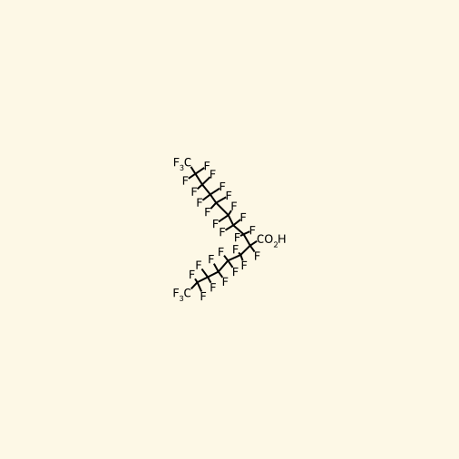 O=C(O)C(F)(C(F)(F)C(F)(F)C(F)(F)C(F)(F)C(F)(F)C(F)(F)F)C(F)(F)C(F)(F)C(F)(F)C(F)(F)C(F)(F)C(F)(F)C(F)(F)C(F)(F)F